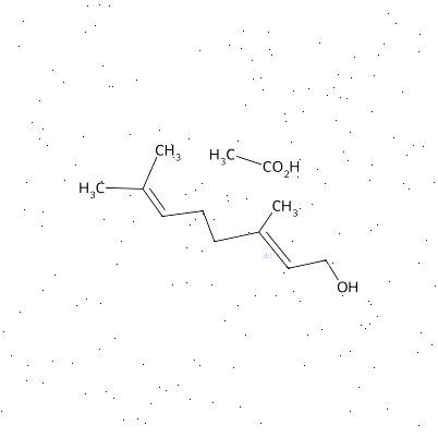 CC(=O)O.CC(C)=CCC/C(C)=C/CO